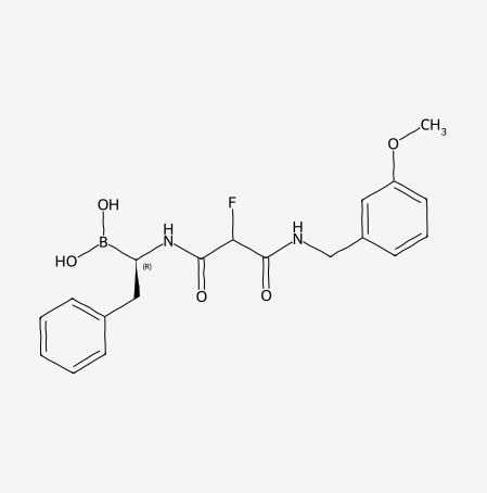 COc1cccc(CNC(=O)C(F)C(=O)N[C@@H](Cc2ccccc2)B(O)O)c1